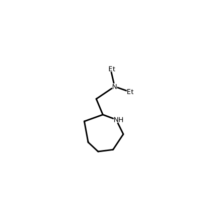 CCN(CC)CC1CCCCCN1